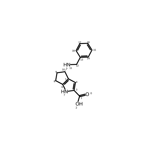 O=C(O)c1cc2c([nH]1)CC[C@@H]2NCc1ccccc1